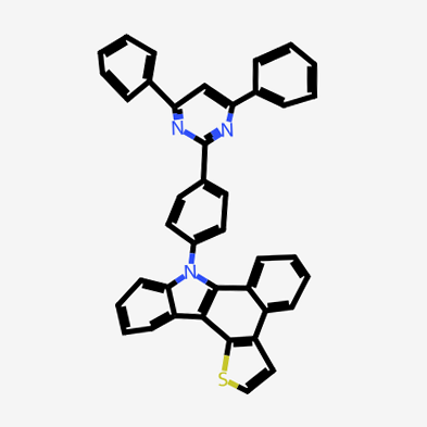 c1ccc(-c2cc(-c3ccccc3)nc(-c3ccc(-n4c5ccccc5c5c6sccc6c6ccccc6c54)cc3)n2)cc1